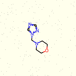 c1ncn(CN2CCOCC2)n1